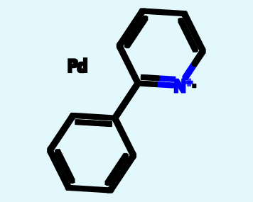 C1=C[N+]=C(c2ccccc2)C=C1.[Pd]